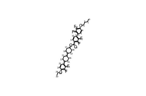 CCCCOc1ccc(-c2ccc(C(=O)OC3CCC(C4CCC(c5ccc(OCC)c(F)c5F)CC4)CC3)c(F)c2F)c(F)c1F